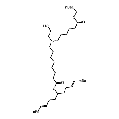 CCCCC=CCCC(CCC=CCCCC)OC(=O)CCCCCCCN(CCO)CCCCCC(=O)OCCCCCCCCCCC